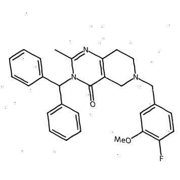 COc1cc(CN2CCc3nc(C)n(C(c4ccccc4)c4ccccc4)c(=O)c3C2)ccc1F